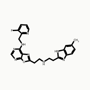 Cc1ccc2nc(CCNCCc3nc4c(NCc5ncccc5F)ncnc4o3)[nH]c2c1